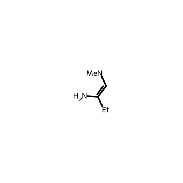 CCC(N)=CNC